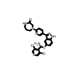 N[C@@H](Oc1ccc2[nH]nc(-c3ccc(N4CCCNC(=O)C4)nc3)c2c1)c1c(Cl)cncc1Cl